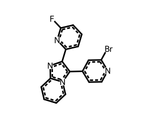 Fc1cccc(-c2nc3ccccn3c2-c2ccnc(Br)c2)n1